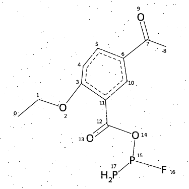 CCOc1ccc(C(C)=O)cc1C(=O)OP(F)P